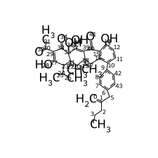 C=C(CCC)Cc1ccc(-c2ccc(O)c3c2C[C@]2(C)C[C@]4(C)C(C(C)C)C(O)=C(C(C)=O)C(=O)[C@]4(O)C(O)=C2C3=O)cc1